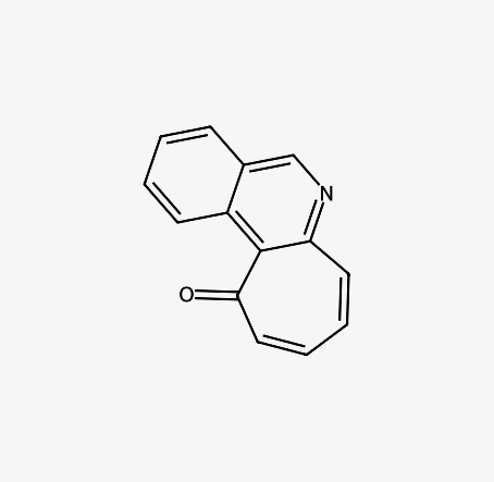 O=c1ccccc2ncc3ccccc3c12